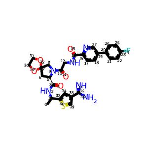 CC(NC(=O)[C@@H]1CC2(CN1C(=O)CNC(=O)c1ccc(-c3ccc(F)cc3)cn1)OCCO2)c1cc(C(=N)N)cs1